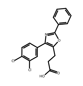 O=C(O)CCc1oc(-c2ccccc2)nc1-c1ccc(Cl)c(Cl)c1